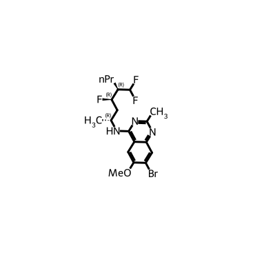 CCC[C@@H](C(F)F)[C@H](F)C[C@@H](C)Nc1nc(C)nc2cc(Br)c(OC)cc12